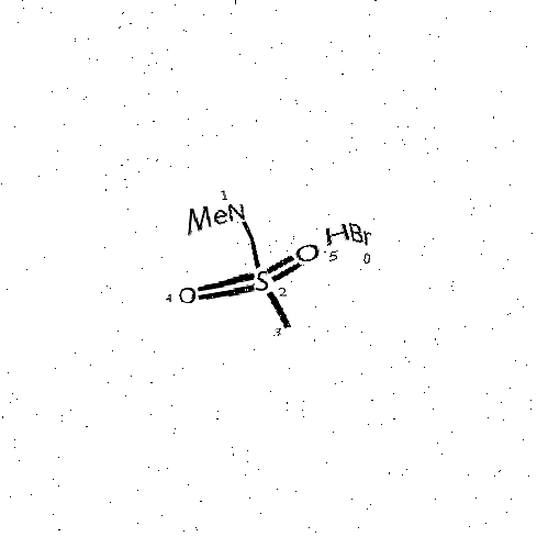 Br.CNS(C)(=O)=O